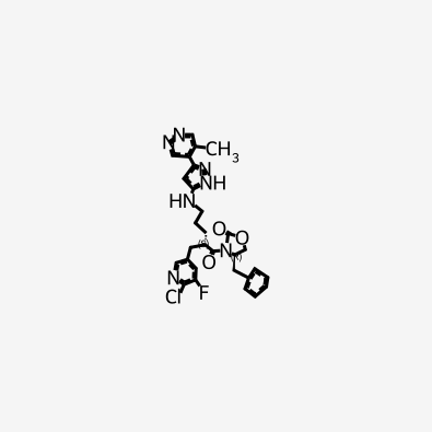 Cc1cnncc1-c1cc(NCCC[C@@H](Cc2cnc(Cl)c(F)c2)C(=O)N2C(=O)OC[C@H]2Cc2ccccc2)[nH]n1